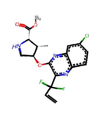 C=CC(F)(F)c1nc2ccc(Cl)cc2nc1O[C@H]1CN[C@H](C(=O)OC(C)(C)C)[C@@H]1C